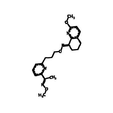 CO/N=C(\C)c1cccc(CCCO/N=C2\CCCc3ccc(OC)nc32)n1